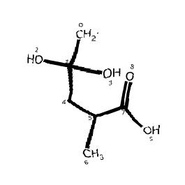 [CH2]C(O)(O)CC(C)C(=O)O